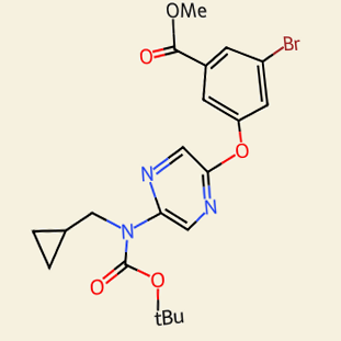 COC(=O)c1cc(Br)cc(Oc2cnc(N(CC3CC3)C(=O)OC(C)(C)C)cn2)c1